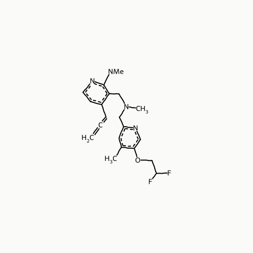 C=C=Cc1ccnc(NC)c1CN(C)Cc1cc(C)c(OCC(F)F)cn1